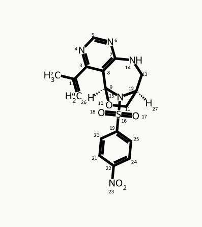 C=C(C)c1ncnc2c1[C@@H]1OC[C@H](CN2)N1S(=O)(=O)c1ccc([N+](=O)[O-])cc1